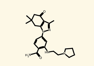 Cc1nn(-c2ccc(C(N)=O)c(NCCN3CCCC3)c2)c2c1C(=O)CC(C)(C)C2